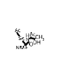 CN[C@@H](CSSCCC(C)=O)C(=O)N[C@H](C(C)=O)[C@@H](C)O